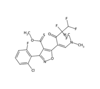 COC(=S)c1c(-c2c(F)cccc2Cl)noc1/C(=C/N(C)C)C(=O)C(F)(F)C(F)F